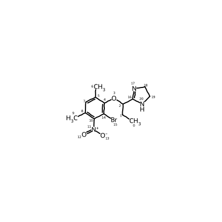 CCC(Oc1c(C)cc(C)c([N+](=O)[O-])c1Br)C1=NCCN1